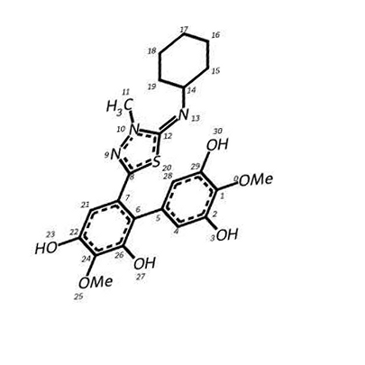 COc1c(O)cc(-c2c(-c3nn(C)c(=NC4CCCCC4)s3)cc(O)c(OC)c2O)cc1O